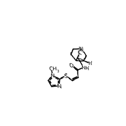 Cn1ccnc1S/C=C\C(=O)N[C@H]1CN2CCC1CC2